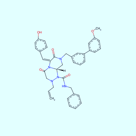 C=CCN1CC(=O)N2/C(=C/c3ccc(O)cc3)C(=O)N(Cc3cccc(-c4cccc(OC)c4)c3)C[C@@H]2N1C(=O)NCc1ccccc1